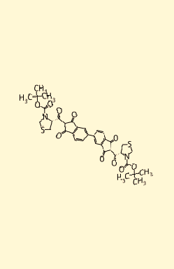 CC(C)(C)OC(=O)N1CSC[C@H]1C(=O)C1C(=O)c2ccc(-c3ccc4c(c3)C(=O)C(C(=O)[C@@H]3CSCN3C(=O)OC(C)(C)C)C4=O)cc2C1=O